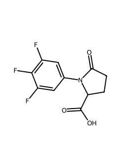 O=C(O)C1CCC(=O)N1c1cc(F)c(F)c(F)c1